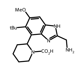 COc1cc2[nH]c(CN)nc2c(C2CCCCN2C(=O)O)c1C(C)(C)C